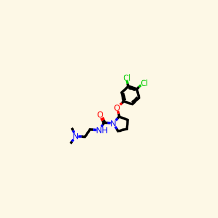 CN(C)CCNC(=O)N1CCCC1Oc1ccc(Cl)c(Cl)c1